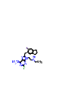 CC(C)(C)CNCCn1c(Cc2cc3c(cc2I)CCC3)nc2c(N)nc(F)nc21